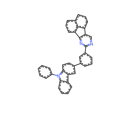 c1ccc(-n2c3ccccc3c3cc(-c4cccc(-c5ncc6c(n5)-c5cccc7cccc-6c57)c4)ccc32)cc1